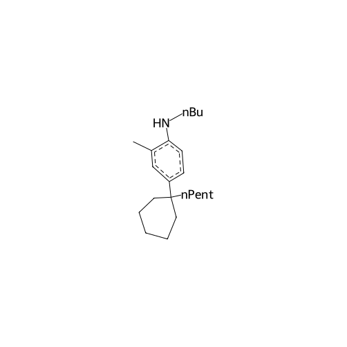 CCCCCC1(c2ccc(NCCCC)c(C)c2)CCCCC1